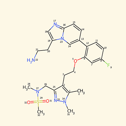 Cc1c(CCOc2cc(F)ccc2-c2ccc3ncc(CCN)n3c2)c(CN(C)S(C)(=O)=O)nn1C